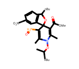 CCCCC(C)ON1C(C)=C([PH2]=O)C(OC(C)CCCC)(c2cccc([N+](=O)[O-])c2)C(C(=O)OC)=C1C